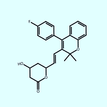 CC1(C)Oc2ccccc2C(c2ccc(F)cc2)=C1C=CC1CC(O)CC(=O)O1